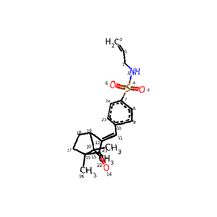 C=CCNS(=O)(=O)c1ccc(C=C2C(=O)C3(C)CCC2C3(C)C)cc1